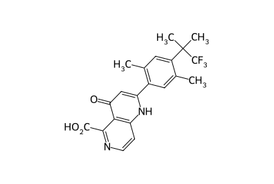 Cc1cc(C(C)(C)C(F)(F)F)c(C)cc1-c1cc(=O)c2c(C(=O)O)nccc2[nH]1